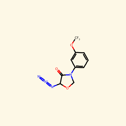 [N-]=[N+]=NC1OCN(c2cccc(OC(F)(F)F)c2)C1=O